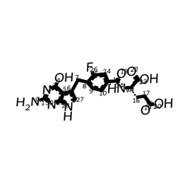 Nc1nc(O)c2c(Cc3ccc(C(=O)N[C@@H](CCC(=O)O)C(=O)O)cc3F)c[nH]c2n1